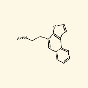 CC(=O)NCCc1cc2ccccc2c2ccoc12